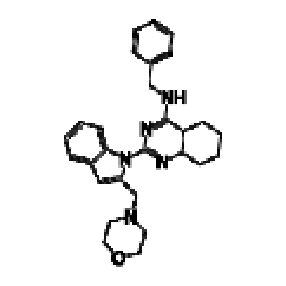 c1ccc(CNC2=NC(n3c(CN4CCOCC4)cc4ccccc43)=NC3CCCCC23)cc1